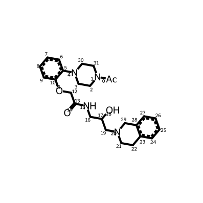 CC(=O)N1CCN(c2ccccc2OCC(=O)NCC(O)CN2CCc3ccccc3C2)CC1